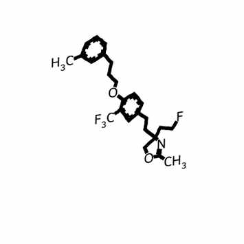 CC1=NC(CCF)(CCc2ccc(OCCCc3cccc(C)c3)c(C(F)(F)F)c2)CO1